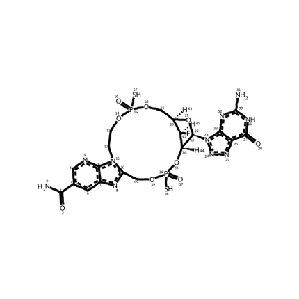 NC(=O)c1cnc2c(c1)nc1n2CCOP(=O)(S)OC[C@H]2O[C@@H](n3nnc4c(=O)[nH]c(N)nc43)[C@H](OP(=O)(S)OC1)[C@@H]2F